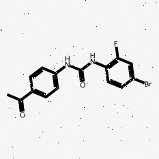 CC(=O)c1ccc(NC(=O)Nc2ccc(Br)cc2F)cc1